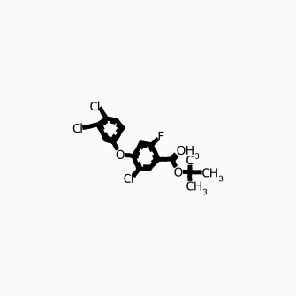 CC(C)(C)OC(=O)c1cc(Cl)c(Oc2ccc(Cl)c(Cl)c2)cc1F